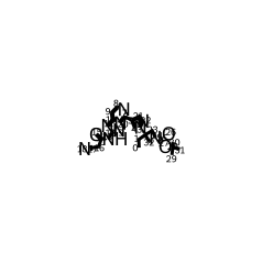 CCC1(n2cc(-c3nccc4nc(NC(=O)CC#N)nn34)cn2)CN(C(=O)OC(C)(C)C)C1